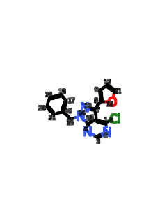 Clc1ncnc2c1c(-c1ccco1)nn2Cc1ccccc1